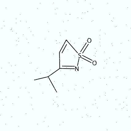 CC(C)C1=NS(=O)(=O)C=C1